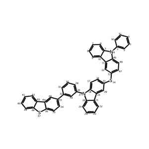 c1ccc(-n2c3ccccc3c3cc(Sc4ccc5c(c4)c4ccccc4n5-c4cccc(-c5ccc6sc7ccccc7c6c5)c4)ccc32)cc1